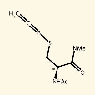 C=C=BSC[C@H](NC(C)=O)C(=O)NC